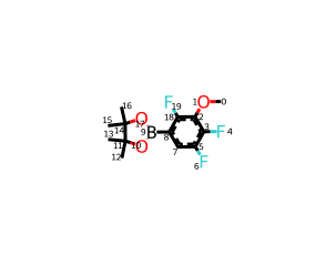 COc1c(F)c(F)cc(B2OC(C)(C)C(C)(C)O2)c1F